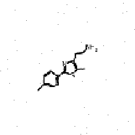 Cc1ccc(-c2nc(CCN)c(C)s2)cc1